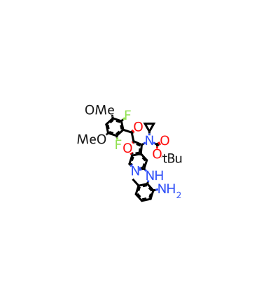 COc1cc(OC)c(F)c(C(=O)c2oc3cnc(Nc4c(C)cccc4N)cc3c2N(C(=O)OC(C)(C)C)C2CC2)c1F